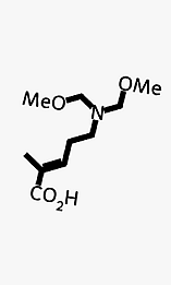 COCN(CCC=C(C)C(=O)O)COC